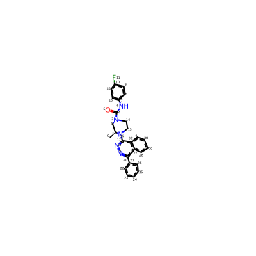 C[C@H]1CN(C(=O)Nc2ccc(F)cc2)CCN1c1nnc(-c2ccccc2)c2ccccc12